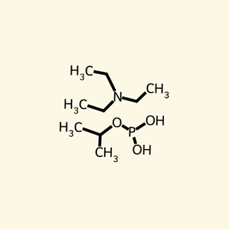 CC(C)OP(O)O.CCN(CC)CC